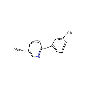 COc1ccc(-c2cccc(C(=O)O)c2)nc1